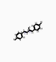 CC(/C=C/c1ccc(C)cc1)=C\c1ccc(C)cc1